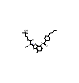 [C-]#[N+]/C(C(=O)OCCC(C)(C)O)=C1\Sc2c(C)ccc(OC(=O)C3CCC(CCCC)CC3)c2S1